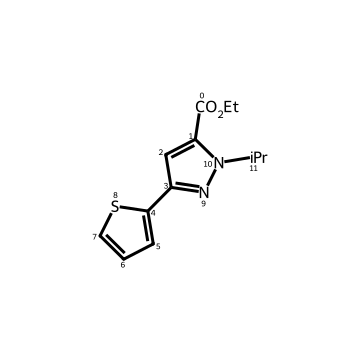 CCOC(=O)c1cc(-c2cccs2)nn1C(C)C